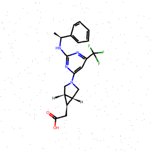 C[C@H](Nc1nc(N2C[C@@H]3[C@@H](CC(=O)O)[C@@H]3C2)cc(C(F)(F)F)n1)c1ccccc1